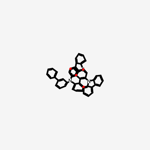 c1ccc(-c2cccc(N(c3ccc4c(c3)sc3ccccc34)c3ccccc3-c3c(-n4c5ccccc5c5ccccc54)ccc4ccccc34)c2)cc1